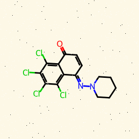 O=C1C=CC(=NN2CCCCC2)c2c(Cl)c(Cl)c(Cl)c(Cl)c21